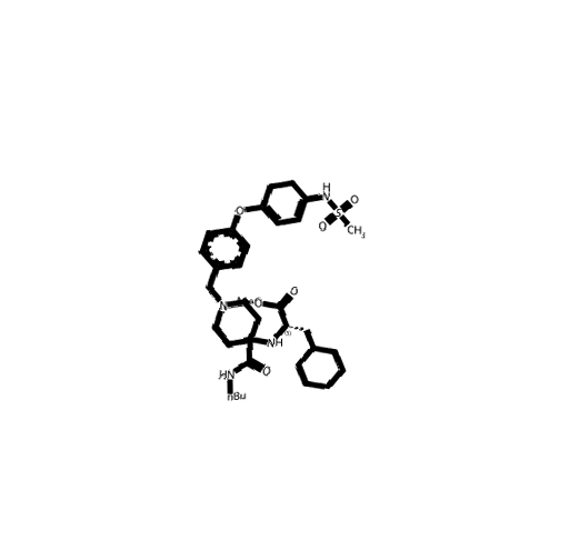 CCCCNC(=O)C1(N[C@@H](CC2CCCCC2)C(=O)OC)CCN(Cc2ccc(OC3=CC=C(NS(C)(=O)=O)CC3)cc2)CC1